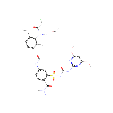 CCOCN(C(=O)CCl)c1c(C)cccc1CC.COc1cc(OC)nc(NC(=O)NS(=O)(=O)c2cc(NC=O)ccc2C(=O)N(C)C)n1